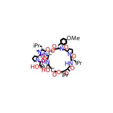 CCC(C)[C@H]1NC(=O)C(NC(=O)[C@@H](CC(C)C)N(C)C(=O)[C@@H]2CCCN2C(=O)C(C)O)COC(=O)[C@H](Cc2ccc(OC)cc2)N(C)C(=O)C2CCCN2C(=O)[C@H](CC(C)C)NC(=O)C(C)C(=O)[C@H](C(C)C)OC(=O)C[C@@H]1O